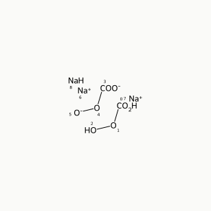 O=C(O)OO.O=C([O-])O[O-].[Na+].[Na+].[NaH]